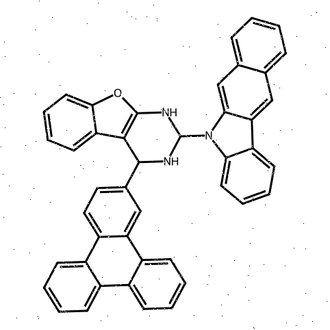 c1ccc2cc3c(cc2c1)c1ccccc1n3C1Nc2oc3ccccc3c2C(c2ccc3c4ccccc4c4ccccc4c3c2)N1